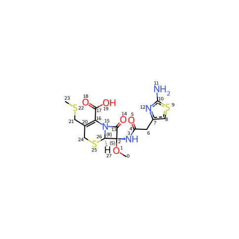 CO[C@@]1(NC(=O)Cc2csc(N)n2)C(=O)N2C(C(=O)O)=C(CSC)CS[C@@H]21